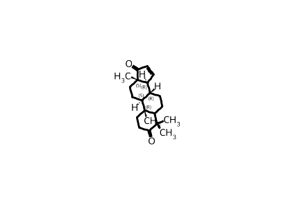 CC1(C)C(=O)CC[C@@]2(C)C1CC[C@@H]1[C@@H]2CC[C@]2(C)C(=O)C=C[C@@H]12